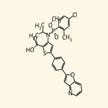 COP(=O)(c1ccc(Cl)cc1C)N(c1cc(-c2ccc(-c3cc4ncccc4o3)cc2)sc1C(=O)O)C(C)C